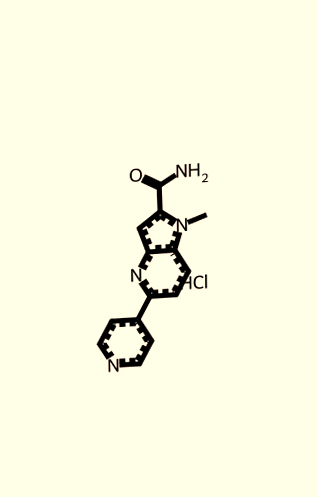 Cl.Cn1c(C(N)=O)cc2nc(-c3ccncc3)ccc21